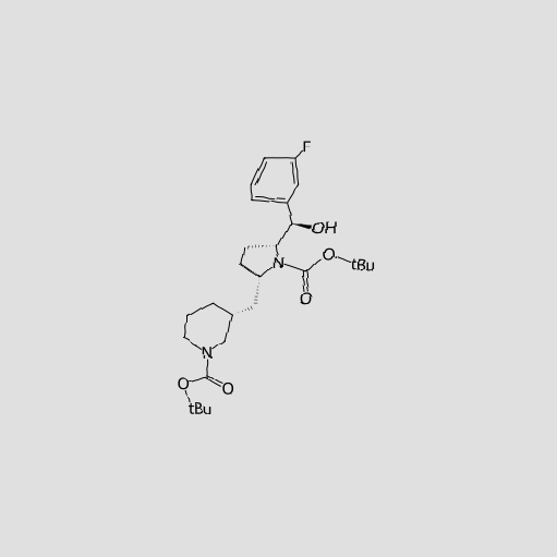 CC(C)(C)OC(=O)N1CCC[C@H](C[C@@H]2CC[C@H]([C@H](O)c3cccc(F)c3)N2C(=O)OC(C)(C)C)C1